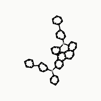 c1ccc(-c2ccc(N(c3ccccc3)c3ccc4c(ccc5c4ccc4cccc(N(c6ccccc6)c6ccc(-c7ccccc7)cc6)c45)c3)cc2)cc1